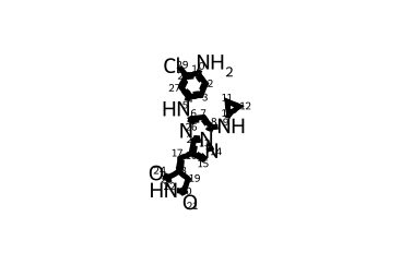 Nc1ccc(Nc2cc(NC3CC3)n3ncc(/C=C4\CC(=O)NC4=O)c3n2)cc1Cl